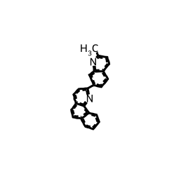 Cc1ccc2ccc(-c3ccc4ccc5ccccc5c4n3)cc2n1